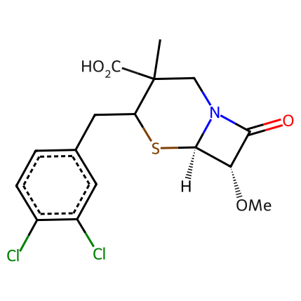 CO[C@H]1C(=O)N2CC(C)(C(=O)O)C(Cc3ccc(Cl)c(Cl)c3)S[C@H]12